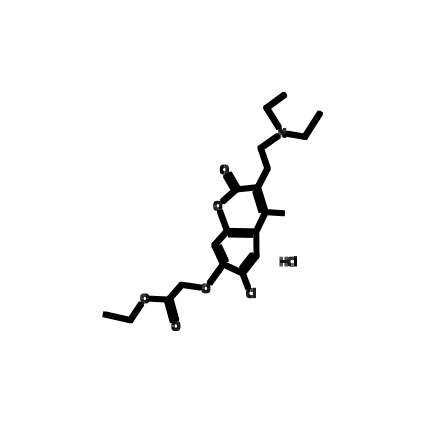 CCOC(=O)COc1cc2oc(=O)c(CCN(CC)CC)c(C)c2cc1Cl.Cl